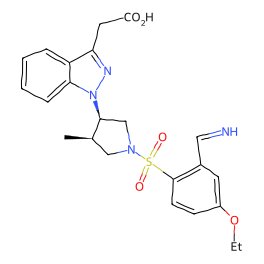 CCOc1ccc(S(=O)(=O)N2C[C@@H](C)[C@@H](n3nc(CC(=O)O)c4ccccc43)C2)c(C=N)c1